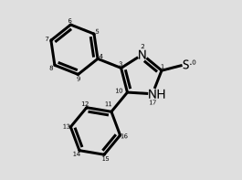 [S]c1nc(-c2ccccc2)c(-c2ccccc2)[nH]1